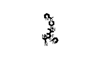 Cc1c(-c2cc(Sc3ncccc3F)c3c(C#N)cnn3c2)cnn1C1CCN([C@H](C)c2ccccn2)CC1